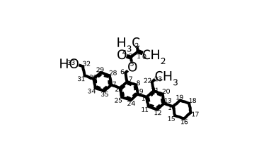 C=C(C)C(=O)OCc1cc(-c2ccc(C3CCCCC3)cc2CC)ccc1-c1ccc(CCO)cc1